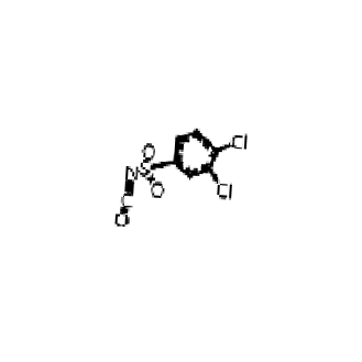 O=C=NS(=O)(=O)c1ccc(Cl)c(Cl)c1